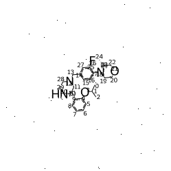 CC(C)Oc1ccccc1[C@H]1CN(Cc2ccc(N3CCOC[C@H]3C)c(F)c2)CCN1